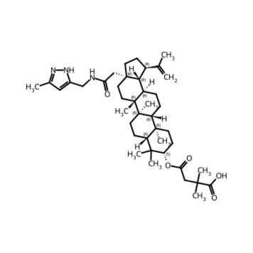 C=C(C)[C@@H]1CC[C@]2(CC(=O)NCc3cc(C)n[nH]3)CC[C@]3(C)[C@H](CC[C@@H]4[C@@]5(C)CC[C@H](OC(=O)CC(C)(C)C(=O)O)C(C)(C)[C@@H]5CC[C@]43C)[C@@H]12